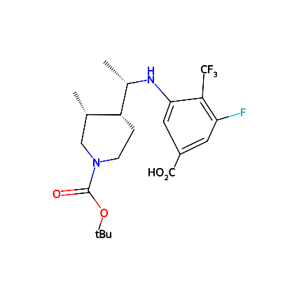 C[C@H](Nc1cc(C(=O)O)cc(F)c1C(F)(F)F)[C@@H]1CCN(C(=O)OC(C)(C)C)C[C@@H]1C